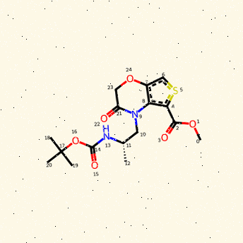 COC(=O)c1scc2c1N(C[C@H](C)NC(=O)OC(C)(C)C)C(=O)CO2